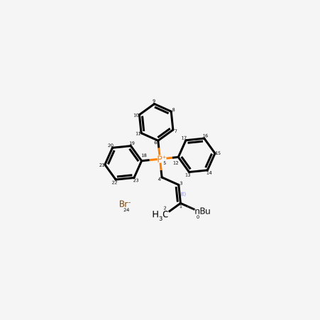 CCCC/C(C)=C/C[P+](c1ccccc1)(c1ccccc1)c1ccccc1.[Br-]